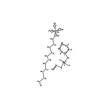 C=CC[N+](C)(C)Cc1ccccc1.CCCCCCCCCCCCOS(=O)(=O)[O-]